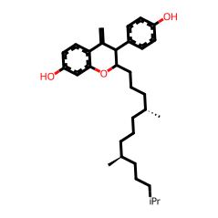 C=C1c2ccc(O)cc2OC(CCC[C@H](C)CCC[C@H](C)CCCC(C)C)C1c1ccc(O)cc1